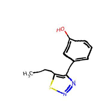 CCc1snnc1-c1cccc(O)c1